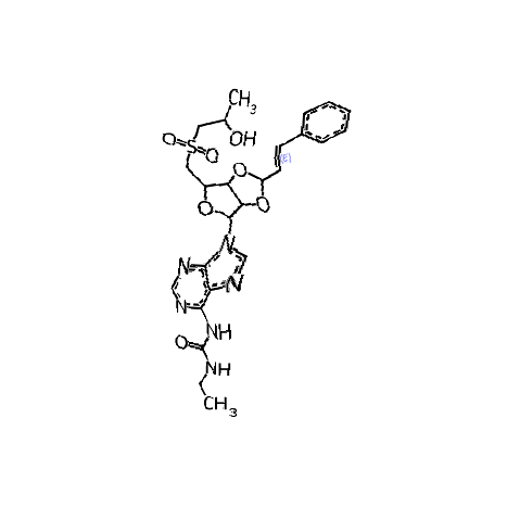 CCNC(=O)Nc1ncnc2c1ncn2C1OC(CS(=O)(=O)CC(C)O)C2OC(/C=C/c3ccccc3)OC21